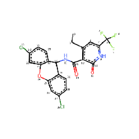 CCc1cc(C(F)(F)F)[nH]c(=O)c1C(=O)NC1c2ccc(Cl)cc2Oc2cc(Cl)ccc21